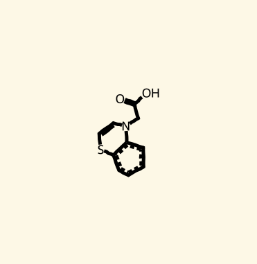 O=C(O)CN1C=CSc2ccccc21